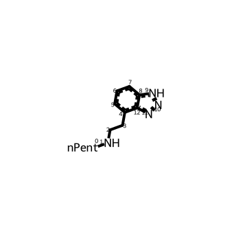 CCCCCNCCc1cccc2[nH]nnc12